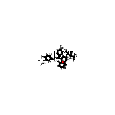 CC(C)Oc1cc([C@](Cc2ccccc2)(NCc2ccc(F)c(C(F)(F)F)c2)c2cc(F)cc(OC(F)(F)C(F)F)c2)ccc1F